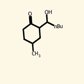 CCCCC(O)C1CC(C)CCC1=O